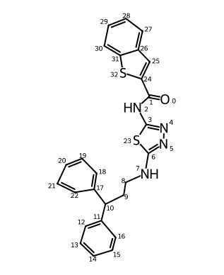 O=C(Nc1nnc(NCCC(c2ccccc2)c2ccccc2)s1)c1cc2ccccc2s1